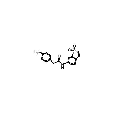 O=C(Cc1ccc(C(F)(F)F)cc1)Nc1ccc2c(c1)S(=O)(=O)C=C2